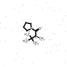 C[C@H](C(=O)N1CCCC1)C(C)(C)C